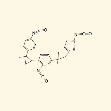 CC(C)(Cc1ccc(N=C=O)cc1)c1ccc(C2CC2(C)c2ccc(N=C=O)cc2)c(N=C=O)c1